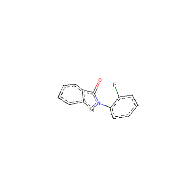 O=c1c2ccccc2[se]n1-c1ccccc1F